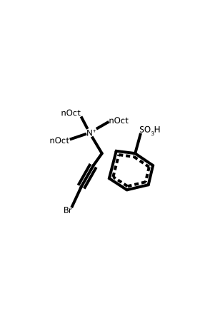 CCCCCCCC[N+](CC#CBr)(CCCCCCCC)CCCCCCCC.O=S(=O)(O)c1ccccc1